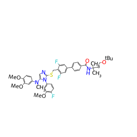 COc1cc(-n2c(N(C)c3ccc(OC)c(OC)c3)cnc2SCc2c(F)cc(-c3ccc(C(=O)NC(C)(C)CCOC(C)(C)C)cc3)cc2F)ccc1F